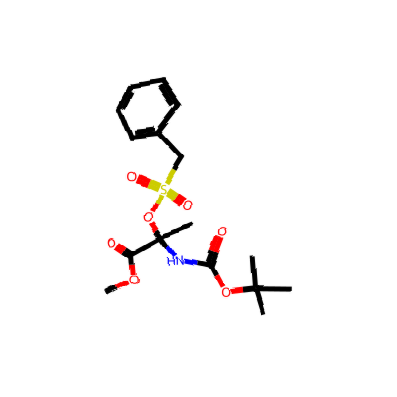 COC(=O)C(C)(NC(=O)OC(C)(C)C)OS(=O)(=O)Cc1ccccc1